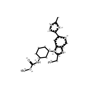 Cc1nsc(-c2cc3c(cn2)nc(CC(C)C)n3[C@@H]2CCC[C@H](NC(=O)OC(C)(C)C)C2)n1